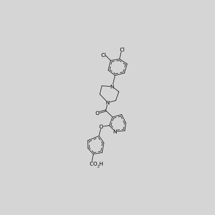 O=C(O)c1ccc(Oc2ncccc2C(=O)N2CCN(c3ccc(Cl)c(Cl)c3)CC2)cc1